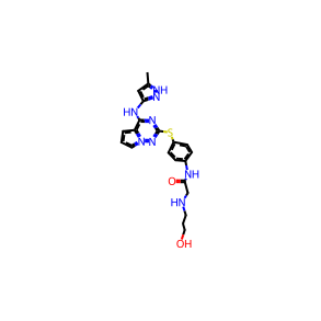 Cc1cc(Nc2nc(Sc3ccc(NC(=O)CNCCCO)cc3)nn3cccc23)n[nH]1